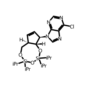 CC(C)[Si]1(C(C)C)OC[C@H]2C=C[C@@H](n3cnc4c(Cl)ncnc43)[C@@H]2O[Si](C(C)C)(C(C)C)O1